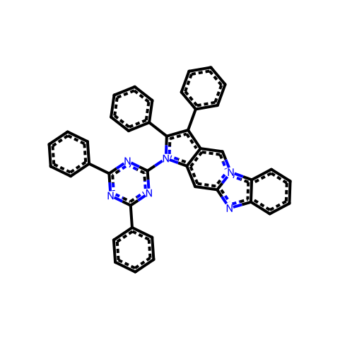 c1ccc(-c2nc(-c3ccccc3)nc(-n3c(-c4ccccc4)c(-c4ccccc4)c4cn5c(cc43)nc3ccccc35)n2)cc1